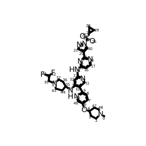 CN1CCC(Oc2ccc(-c3cnc(Nc4ccnc(-c5cnn(S(=O)(=O)C6CC6)c5)n4)cc3NC3CCN(CC(F)F)CC3)nc2)CC1